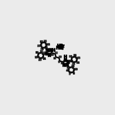 Br.Br.c1ccc(N2N=C(CCCCC3=NN(c4ccccc4)N(c4ccccc4)N3)NN2c2ccccc2)cc1